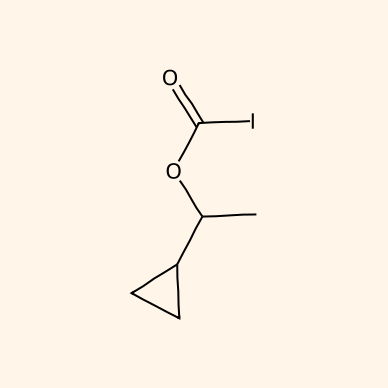 CC(OC(=O)I)C1CC1